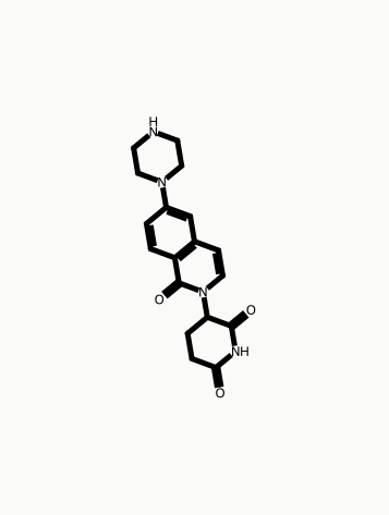 O=C1CCC(n2ccc3cc(N4CCNCC4)ccc3c2=O)C(=O)N1